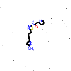 Nc1ccc(C#CCCc2nnc(NC(=O)Cc3ccccn3)s2)nn1